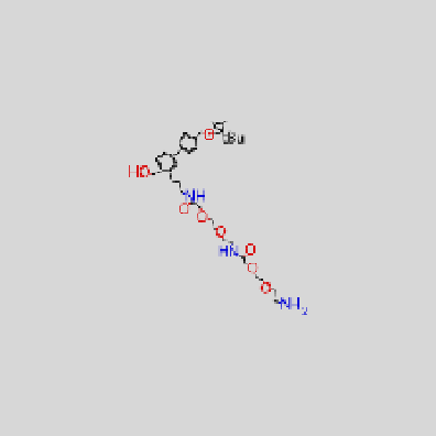 CC(C)(C)[Si](C)(C)OCc1ccc(-c2ccc(CO)c(CCCNC(=O)COCCOCCNC(=O)COCCOCCN)c2)cc1